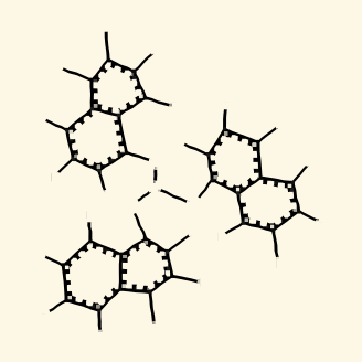 Fc1c(F)c(F)c2c(OB(Oc3c(F)c(F)c(F)c4c(F)c(F)c(F)c(F)c34)Oc3c(F)c(F)c(F)c4c(F)c(F)c(F)c(F)c34)c(F)c(F)c(F)c2c1F